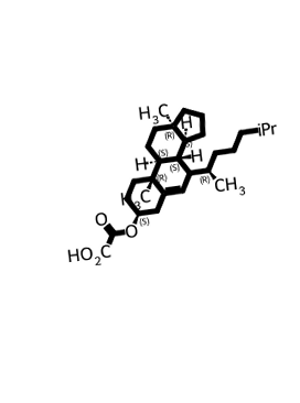 CC(C)CCC[C@@H](C)C1C=C2C[C@@H](OC(=O)C(=O)O)CC[C@]2(C)[C@H]2CC[C@@]3(C)CCC[C@H]3[C@H]12